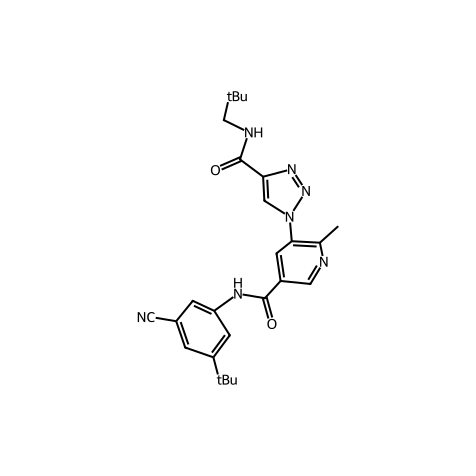 Cc1ncc(C(=O)Nc2cc(C#N)cc(C(C)(C)C)c2)cc1-n1cc(C(=O)NCC(C)(C)C)nn1